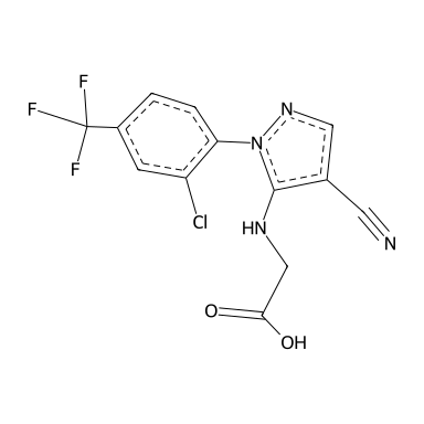 N#Cc1cnn(-c2ccc(C(F)(F)F)cc2Cl)c1NCC(=O)O